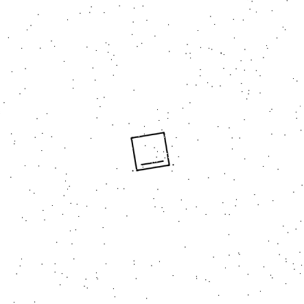 [C]1=[C]CC1